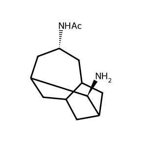 CC(=O)N[C@@H]1CC2CC3CC2CC(C1)[C@H]3N